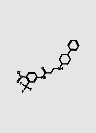 O=C(CCNC1CCC(c2ccccc2)CC1)Nc1ccc([N+](=O)[O-])c(C(F)(F)F)c1